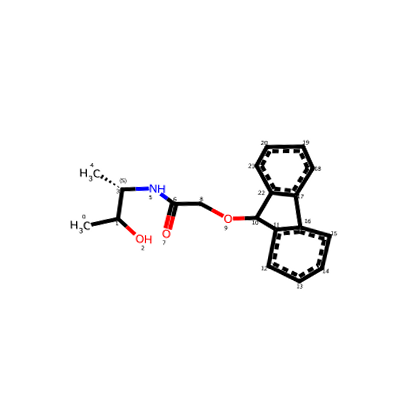 CC(O)[C@H](C)NC(=O)COC1c2ccccc2-c2ccccc21